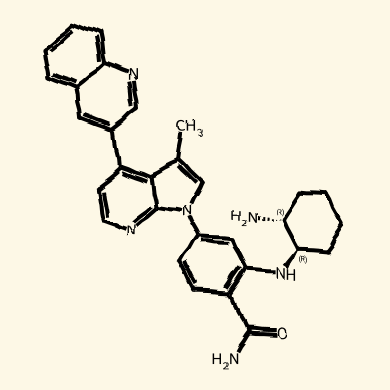 Cc1cn(-c2ccc(C(N)=O)c(N[C@@H]3CCCC[C@H]3N)c2)c2nccc(-c3cnc4ccccc4c3)c12